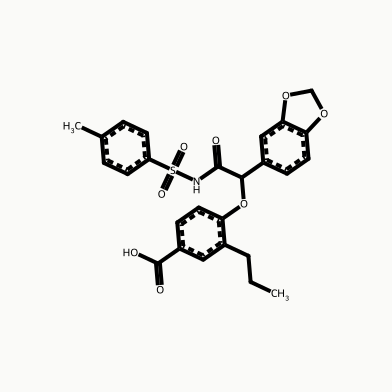 CCCc1cc(C(=O)O)ccc1OC(C(=O)NS(=O)(=O)c1ccc(C)cc1)c1ccc2c(c1)OCO2